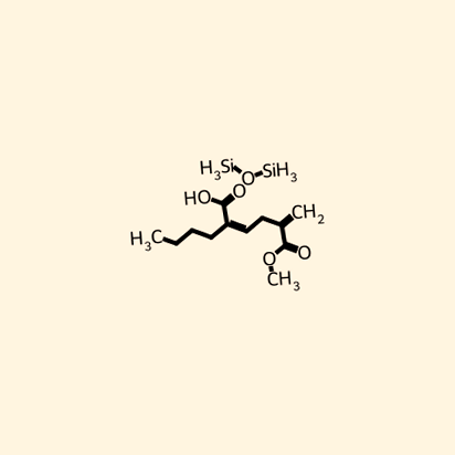 C=C(CC=C(CCCC)C(=O)O)C(=O)OC.[SiH3]O[SiH3]